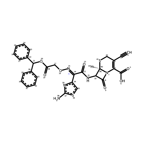 C#CC1=C(C(=O)O)N2C(=O)C(NC(=O)/C(=N/OCC(=O)OC(c3ccccc3)c3ccccc3)c3csc(N)n3)[C@H]2SC1